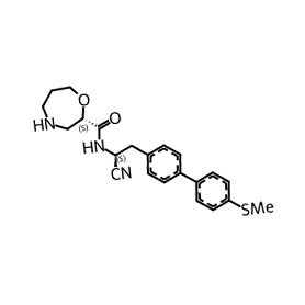 CSc1ccc(-c2ccc(C[C@@H](C#N)NC(=O)[C@@H]3CNCCCO3)cc2)cc1